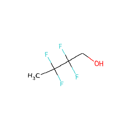 CC(F)(F)C(F)(F)CO